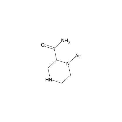 CC(=O)N1CCNCC1C(N)=O